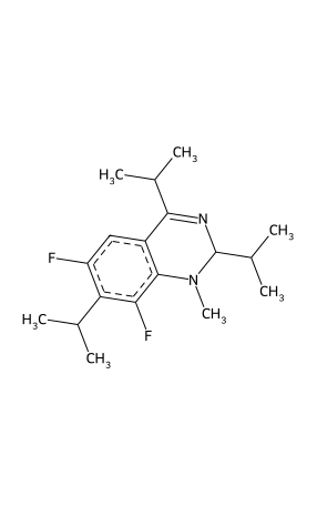 CC(C)C1=NC(C(C)C)N(C)c2c1cc(F)c(C(C)C)c2F